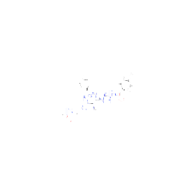 CC(=O)NCCNc1nc(-c2ccccc2)nc(NCCNC(=O)c2ccc(C)cc2)c1C